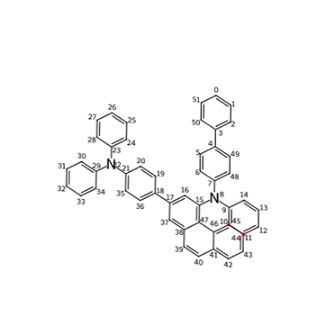 c1ccc(-c2ccc(N(c3ccccc3)c3cc(-c4ccc(N(c5ccccc5)c5ccccc5)cc4)cc4ccc5ccccc5c34)cc2)cc1